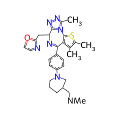 CNCC1CCCN(c2ccc(C3=NC(Cc4ncco4)c4nnc(C)n4-c4sc(C)c(C)c43)cc2)C1